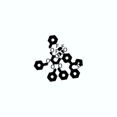 O=S(=O)(c1ccc(C(Cc2ccccc2)c2cccs2)cc1[C@@H]1O[C@H](COCc2ccccc2)[C@@H](OCc2ccccc2)[C@H](OCc2ccccc2)[C@H]1OCc1ccccc1)C(F)(F)F